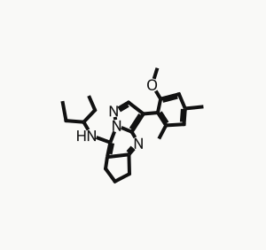 CCC(CC)Nc1c2c(nc3c(-c4c(C)cc(C)cc4OC)cnn13)CCC2